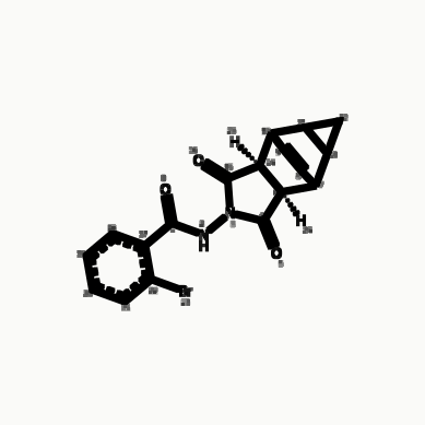 O=C(NN1C(=O)[C@@H]2C3C=CC(C4CC43)[C@@H]2C1=O)c1ccccc1Br